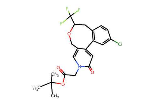 CC(C)(C)OC(=O)Cn1cc2c(cc1=O)-c1cc(Cl)ccc1CC(C(F)(F)F)OC2